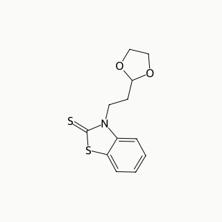 S=c1sc2ccccc2n1CCC1OCCO1